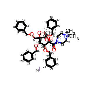 C[C@@H](O)C(O)(COCc1ccccc1)[C@@H](OCc1ccccc1)[C@H](OCc1ccccc1)[C@@H](OCc1ccccc1)C(=O)N1CC[N+](C)(C)CC1.[I-]